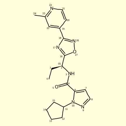 CC[C@H](NC(=O)c1ccnn1C1CCCC1)c1nc(-c2ccnc(C)c2)no1